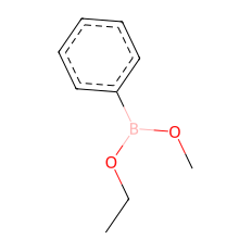 CCOB(OC)c1ccccc1